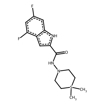 CS1(C)CCN(NC(=O)c2cc3c(F)cc(F)cc3[nH]2)CC1